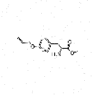 C=CCOc1ccc(C[C@H](N)C(=O)OC)cc1